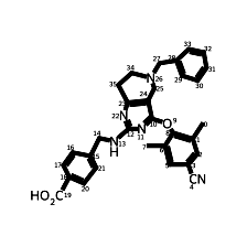 Cc1cc(C#N)cc(C)c1Oc1nc(NCc2ccc(C(=O)O)cc2)nc2c1CN(Cc1ccccc1)CC2